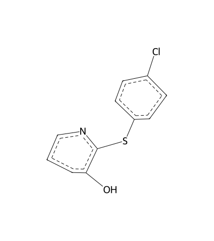 Oc1cccnc1Sc1ccc(Cl)cc1